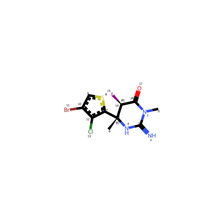 CN1C(=N)N[C@](C)(c2scc(Br)c2Cl)[C@@H](I)C1=O